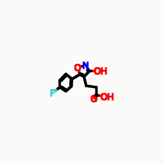 O=C(O)CCc1c(O)noc1-c1ccc(F)cc1